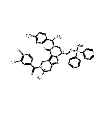 CC(c1ccc(C(F)(F)F)nc1)N1C[C@@H](CO[Si](c2ccccc2)(c2ccccc2)C(C)(C)C)n2nc3c(c2C1=O)CN(C(=O)c1ccc(Cl)c(C(F)(F)F)c1)[C@H](C)C3